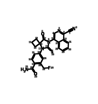 N#Cc1ncc(N2C(=O)C3(CCC3)N(c3ccc(C(N)=O)c(CF)c3)C2=S)c2ccccc12